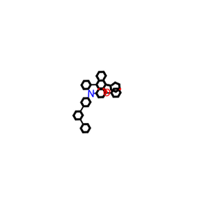 c1ccc(-c2ccc(N(c3ccc(-c4cccc(-c5ccccc5)c4)cc3)c3ccccc3-c3cc4oc5ccccc5c4c4ccccc34)cc2)cc1